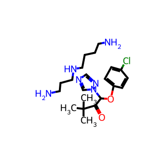 CC(C)(C)C(=O)C(Oc1ccc(Cl)cc1)n1cncn1.NCCCCNCCCN